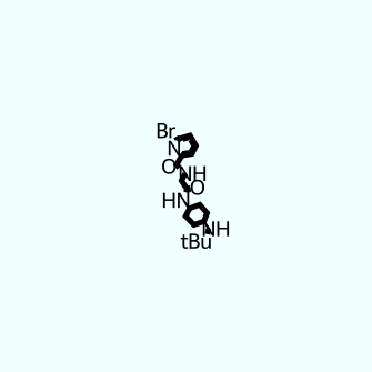 CC(C)(C)N[C@H]1CC[C@H](NC(=O)CNC(=O)c2cccc(Br)n2)CC1